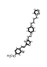 COc1ccc(C=Cc2nc(COc3ccc(CCCCn4ccnn4)cc3)co2)c(F)c1